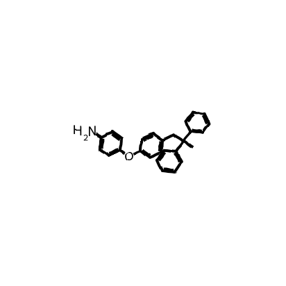 CC(Cc1ccc(Oc2ccc(N)cc2)cc1)(c1ccccc1)c1ccccc1